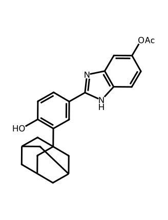 CC(=O)Oc1ccc2[nH]c(-c3ccc(O)c(C45CC6CC(CC(C6)C4)C5)c3)nc2c1